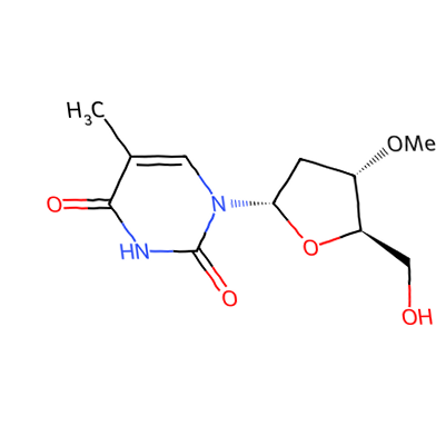 CO[C@H]1C[C@@H](n2cc(C)c(=O)[nH]c2=O)O[C@@H]1CO